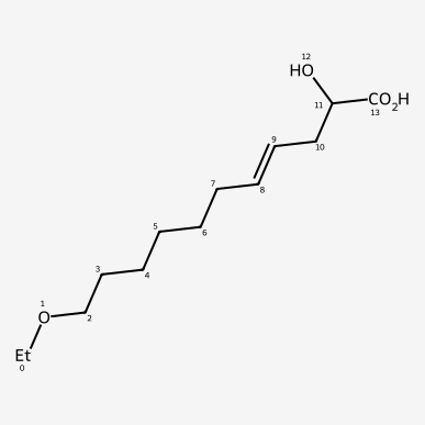 CCOCCCCCCC=CCC(O)C(=O)O